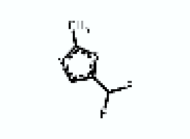 Cc1ncc(C(F)F)s1